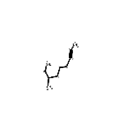 CC(CN)CCCC#CN